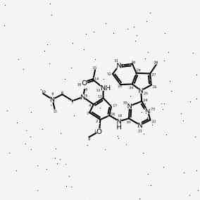 COc1cc(N(C)CCN(C)C)c(NC(C)=O)cc1Nc1ncnc(-n2cc(C)c3cnccc32)n1